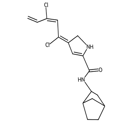 C=C/C(Cl)=C\C(Cl)=C1\C=C(C(=O)NC2CC3CCC2C3)NC1